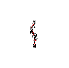 Cc1cc(/C=C/c2ccc(N3CCCC3)cc2)cc[n+]1CCCOC(=O)CSSCC(=O)OCCC[n+]1ccc(/C=C/c2ccc(N3CCCC3)cc2)cc1C